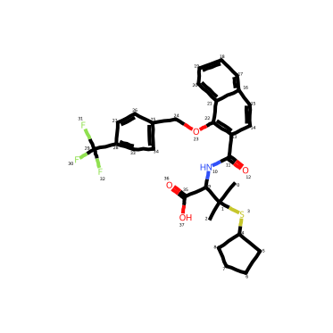 CC(C)(SC1CCCC1)C(NC(=O)c1ccc2ccccc2c1OCc1ccc(C(F)(F)F)cc1)C(=O)O